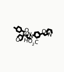 CC1CCC(C(=O)N(c2nn(-c3ccc(-c4cc5ncccc5o4)cc3)cc2C(=O)O)C2CCOCC2)CC1